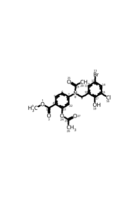 COC(=O)c1ccc(N(Cc2cc(Br)cc(Cl)c2O)C(C)=O)cc1OC(C)=O